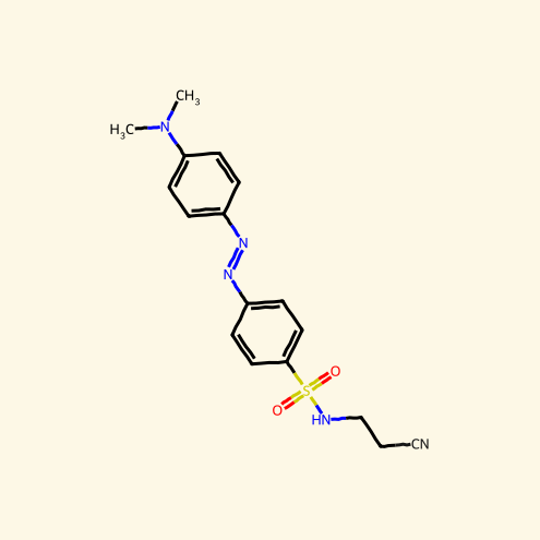 CN(C)c1ccc(N=Nc2ccc(S(=O)(=O)NCCC#N)cc2)cc1